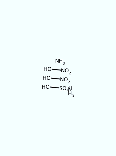 N.N.O=S(=O)(O)O.O=[N+]([O-])O.O=[N+]([O-])O